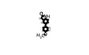 COc1ccc(-c2ccc3c(c2)CC(=O)N3)cc1